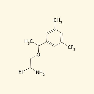 CCC(N)COC(C)c1cc(C)cc(C(F)(F)F)c1